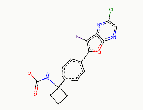 O=C(O)NC1(c2ccc(-c3oc4ncc(Cl)nc4c3I)cc2)CCC1